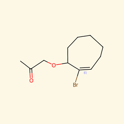 CC(=O)COC1CCCCC/C=C\1Br